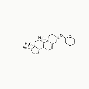 CC(=O)C1CCC2C3CC=C4C[C@@H](OC5CCCCO5)CCC4(C)C3CCC12C